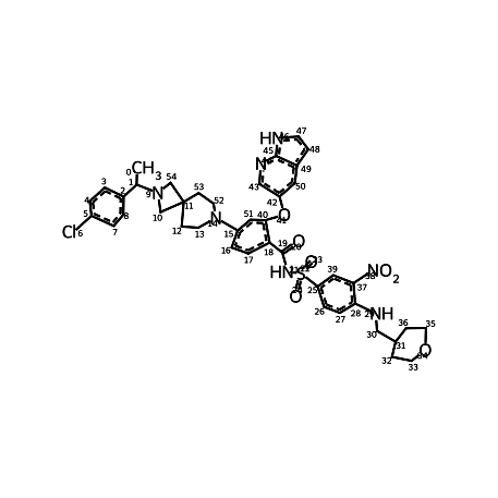 CC(c1ccc(Cl)cc1)N1CC2(CCN(c3ccc(C(=O)NS(=O)(=O)c4ccc(NCC5CCOCC5)c([N+](=O)[O-])c4)c(Oc4cnc5[nH]ccc5c4)c3)CC2)C1